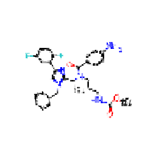 CC(C)(C)OC(=O)NCCCN(C(=O)c1ccc(N)cc1)C(c1nc(-c2cc(F)ccc2F)cn1Cc1ccccc1)C(C)(C)C